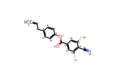 C=CCc1ccc(OC(=O)c2cc(F)c(C#N)c(F)c2)cc1